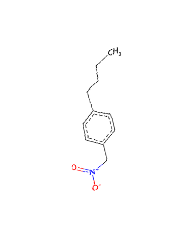 CCCCc1ccc(C[N+](=O)[O-])cc1